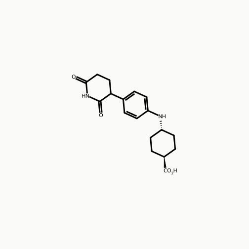 O=C1CCC(c2ccc(N[C@H]3CC[C@H](C(=O)O)CC3)cc2)C(=O)N1